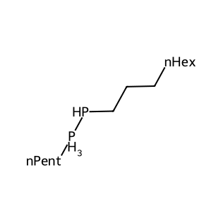 CCCCCCCCCP[PH3]CCCCC